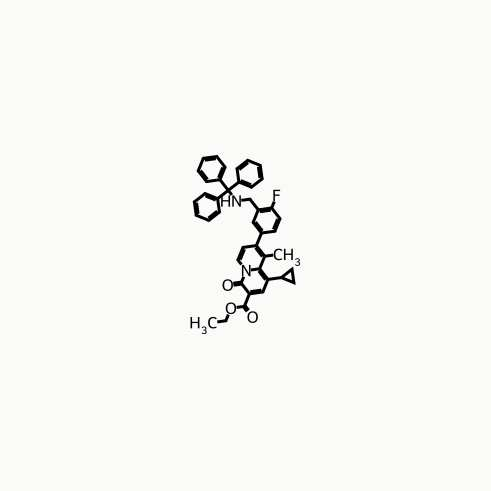 CCOC(=O)c1cc(C2CC2)c2c(C)c(-c3ccc(F)c(CNC(c4ccccc4)(c4ccccc4)c4ccccc4)c3)ccn2c1=O